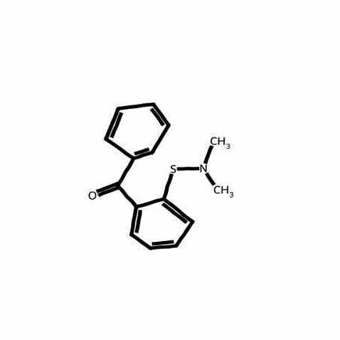 CN(C)Sc1ccccc1C(=O)c1ccccc1